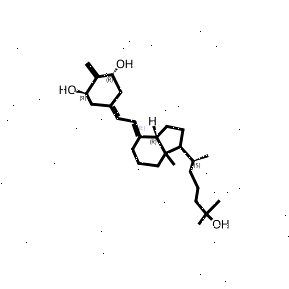 C=C1[C@H](O)CC(=C/C=C2\CCCC3(C)C([C@@H](C)CCCC(C)(C)O)CC[C@@H]23)C[C@H]1O